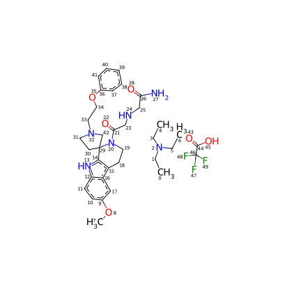 CCN(CC)CC.COc1ccc2[nH]c3c(c2c1)CCN(C(=O)CNCC(N)=O)C31CCN(CCOc2ccccc2)C1.O=C(O)C(F)(F)F